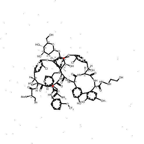 CN[C@H](CC(C)C)C(=O)N[C@H]1C(=O)N[C@@H](CC(N)=O)C(=O)NC2C(=O)N[C@H]3C(=O)N[C@H](C(=O)N[C@@H](C(=O)NNCCO)c4cc(O)cc(O)c4-c4cc3ccc4O)[C@H](O)c3ccc(c(Cl)c3)Oc3cc2cc(c3O[C@@H]2O[C@H](CO)[C@@H](O)[C@H](O)[C@H]2O[C@H]2C[C@](C)(NCc3cncc(C(=O)Nc4cccc(OC(F)(F)F)c4)c3)[C@H](O)[C@H](C)O2)Oc2ccc(cc2Cl)[C@H]1O